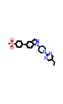 CCc1cnc(N2CCC(n3ncc4cc(-c5ccc(S(C)(=O)=O)cc5)ccc43)CC2)nc1